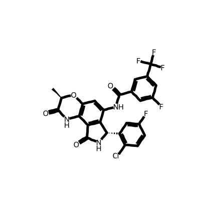 C[C@H]1Oc2cc(NC(=O)c3cc(F)cc(C(F)(F)F)c3)c3c(c2NC1=O)C(=O)N[C@H]3c1cc(F)ccc1Cl